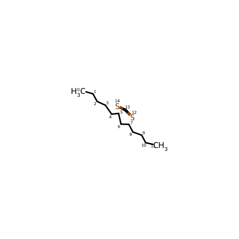 CCCCCCCCCCCC.S=C=S